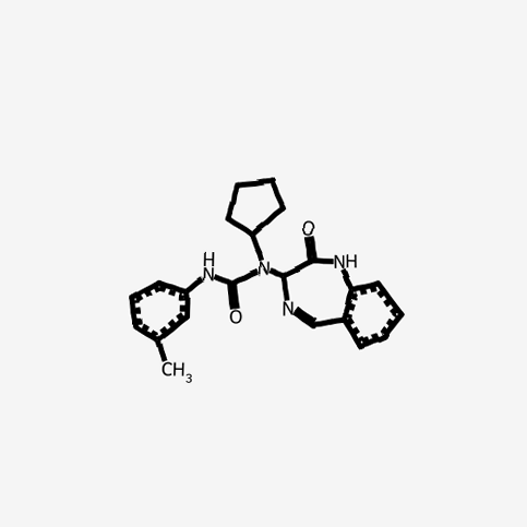 Cc1cccc(NC(=O)N(C2CCCC2)C2N=Cc3ccccc3NC2=O)c1